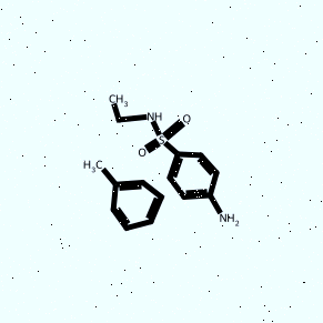 CCNS(=O)(=O)c1ccc(N)cc1.Cc1ccccc1